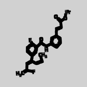 C=C(F)/C=C(\C=C/C)c1ccc(F)c(C(=O)Nc2cccc(/C=C/C(=O)OC(C)C)c2)c1